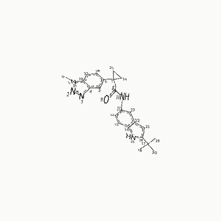 Cn1nnc2cc(C3(C(=O)Nc4ccc5[nH]c(C(C)(C)C)cc5c4)CC3)ccc21